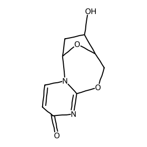 O=c1ccn2c(n1)OCC1OC2CC1O